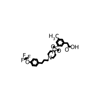 Cc1cc(CC(=O)O)cc(S(=O)(=O)N2CCN(CCCc3ccc(OC(F)(F)F)cc3)CC2)c1